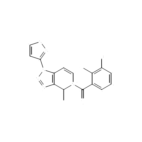 CC1c2nnn(-c3cc[nH]n3)c2C=CN1C(=O)c1cccc(C(F)(F)F)c1Cl